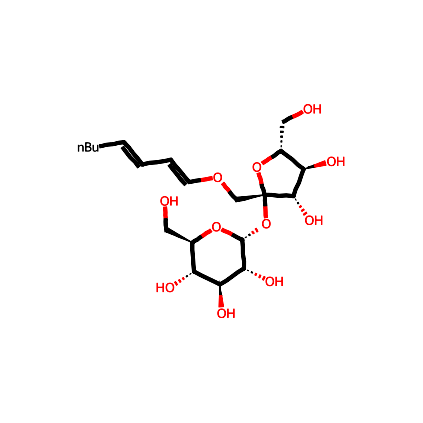 CCCCC=CC=COC[C@@]1(O[C@H]2O[C@H](CO)[C@@H](O)[C@H](O)[C@H]2O)O[C@H](CO)[C@@H](O)[C@@H]1O